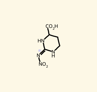 O=C(O)C1CCN/C(=N\[N+](=O)[O-])N1